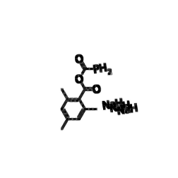 Cc1cc(C)c(C(=O)OC(=O)P)c(C)c1.[NaH].[NaH].[NaH]